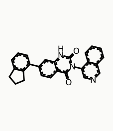 O=c1[nH]c2cc(-c3cccc4c3CCC4)ccc2c(=O)n1-c1cncc2ccccc12